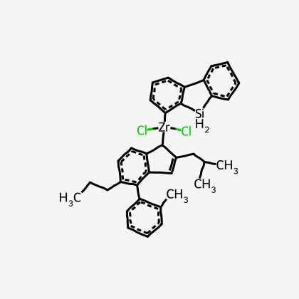 CCCc1ccc2c(c1-c1ccccc1C)C=C(CC(C)C)[CH]2[Zr]([Cl])([Cl])[c]1cccc2c1[SiH2]c1ccccc1-2